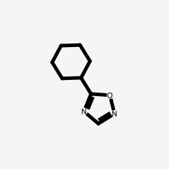 c1noc(C2CCCCC2)n1